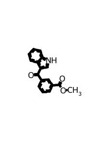 COC(=O)c1cccc(C(=O)c2c[nH]c3ccccc23)c1